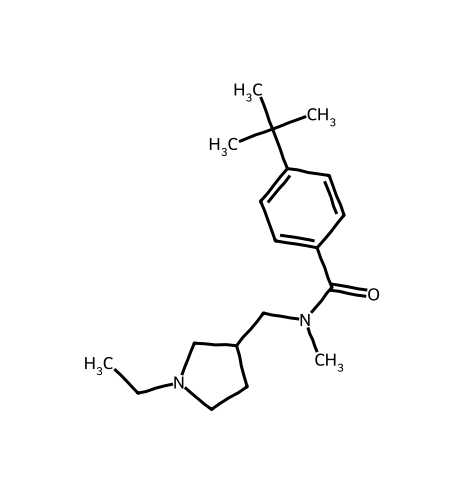 CCN1CCC(CN(C)C(=O)c2ccc(C(C)(C)C)cc2)C1